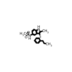 CCCc1ccccc1Sc1c(C)[nH]c2ccc(NS(C)(=O)=O)cc12